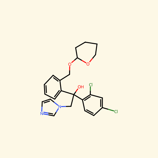 OC(Cn1ccnc1)(c1ccc(Cl)cc1Cl)c1ccccc1COC1CCCCO1